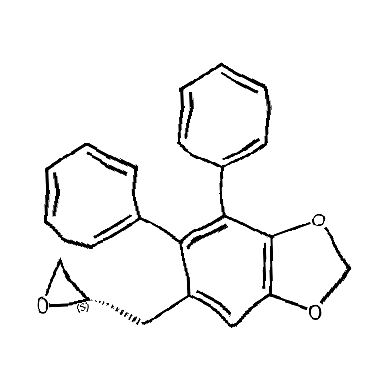 c1ccc(-c2c(C[C@H]3CO3)cc3c(c2-c2ccccc2)OCO3)cc1